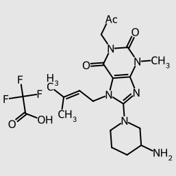 CC(=O)Cn1c(=O)c2c(nc(N3CCCC(N)C3)n2CC=C(C)C)n(C)c1=O.O=C(O)C(F)(F)F